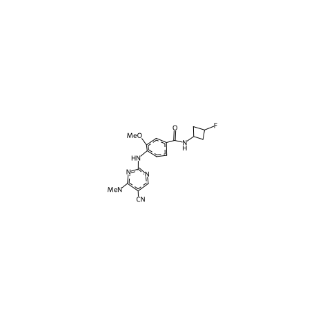 CNc1nc(Nc2ccc(C(=O)NC3CC(F)C3)cc2OC)ncc1C#N